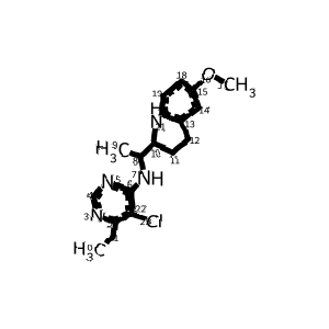 CCc1ncnc(NC(C)C2CCc3cc(OC)ccc3N2)c1Cl